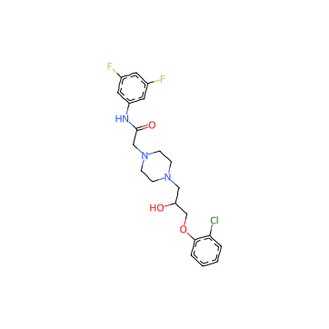 O=C(CN1CCN(CC(O)COc2ccccc2Cl)CC1)Nc1cc(F)cc(F)c1